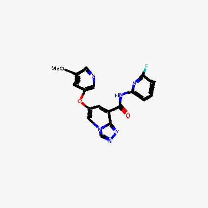 COc1cncc(Oc2cc(C(=O)Nc3cccc(F)n3)c3nncn3c2)c1